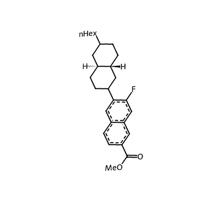 CCCCCCC1CC[C@@H]2CC(c3cc4ccc(C(=O)OC)cc4cc3F)CC[C@H]2C1